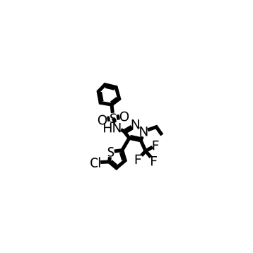 CCn1nc(NS(=O)(=O)c2ccccc2)c(-c2ccc(Cl)s2)c1C(F)(F)F